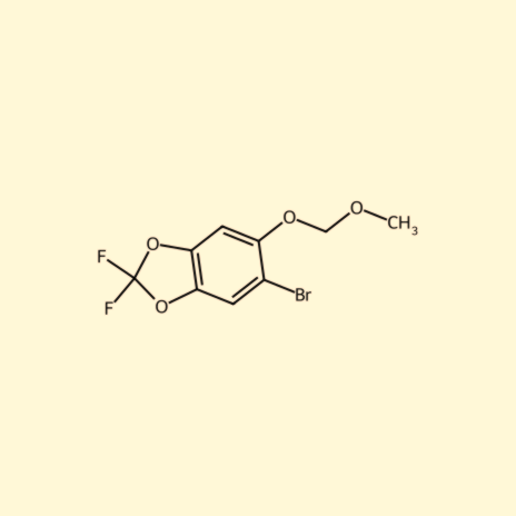 COCOc1cc2c(cc1Br)OC(F)(F)O2